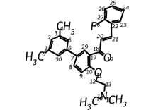 Cc1cc(C)cc(-c2ccc(OCCN(C)C)c(C(=O)C=Cc3ccccc3F)c2)c1